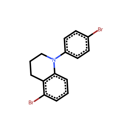 Brc1ccc(N2CCCc3c(Br)cccc32)cc1